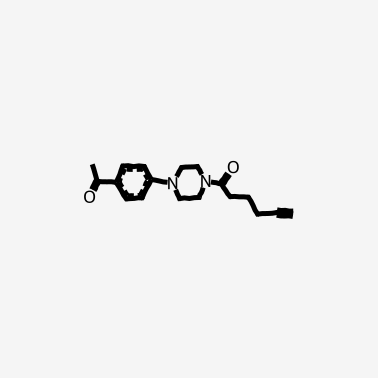 C#CCCCC(=O)N1CCN(c2ccc(C(C)=O)cc2)CC1